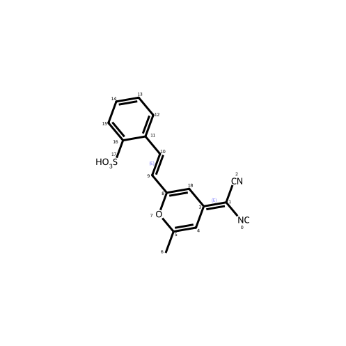 [C-]#[N+]/C(C#N)=C1\C=C(C)OC(/C=C/c2ccccc2S(=O)(=O)O)=C1